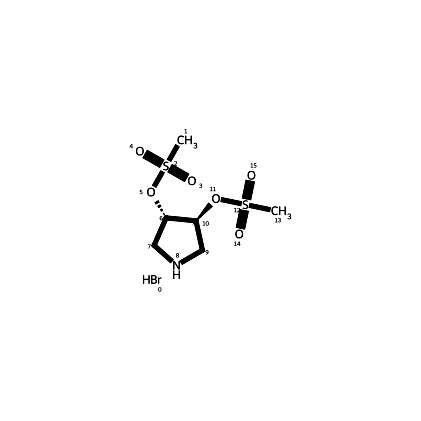 Br.CS(=O)(=O)O[C@H]1CNC[C@@H]1OS(C)(=O)=O